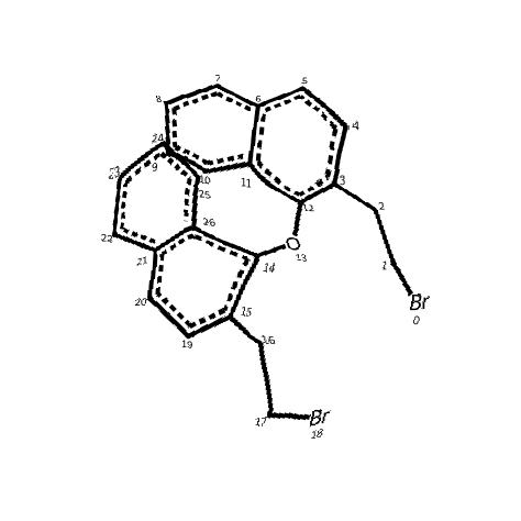 BrCCc1ccc2ccccc2c1Oc1c(CCBr)ccc2ccccc12